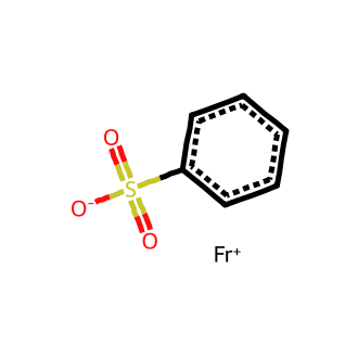 O=S(=O)([O-])c1ccccc1.[Fr+]